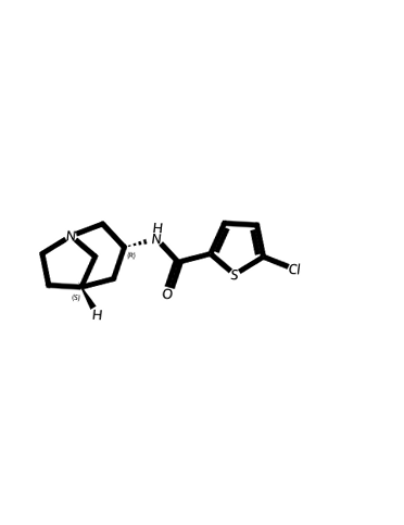 O=C(N[C@@H]1C[C@@H]2CCN(C2)C1)c1ccc(Cl)s1